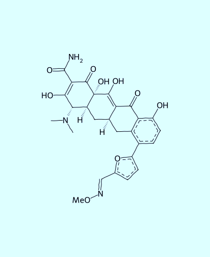 CO/N=C/c1ccc(-c2ccc(O)c3c2C[C@H]2C[C@H]4[C@H](N(C)C)C(O)=C(C(N)=O)C(=O)[C@@]4(O)C(O)=C2C3=O)o1